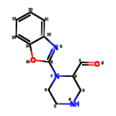 O=CC1CNCCN1c1nc2ccccc2o1